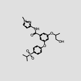 CC(CO)Oc1cc(Oc2ccc(S(=O)(=O)C(C)C)cc2)cc(C(=O)Nc2ccn(C)n2)c1